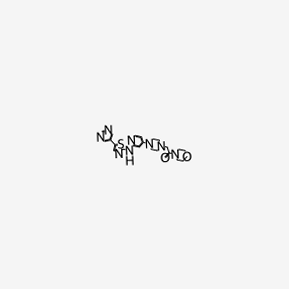 O=C(CN1CCN(c2ccnc(Nc3ncc(-c4cncnc4)s3)c2)CC1)N1CCOCC1